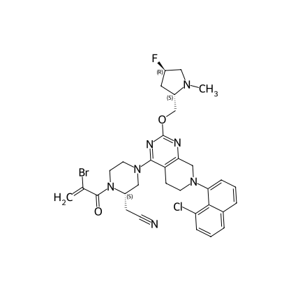 C=C(Br)C(=O)N1CCN(c2nc(OC[C@@H]3C[C@@H](F)CN3C)nc3c2CCN(c2cccc4cccc(Cl)c24)C3)C[C@@H]1CC#N